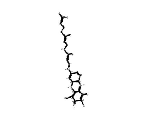 CC(C)=CCC/C(C)=C/CC/C(C)=C/COc1ccc2nc3c(C)c(C)c(=O)c(C)c-3oc2c1